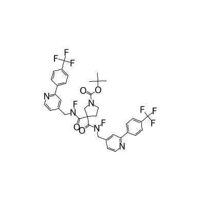 CC(C)(C)OC(=O)N1CCC(C(=O)N(F)Cc2ccnc(-c3ccc(C(F)(F)F)cc3)c2)(C(=O)N(F)Cc2ccnc(-c3ccc(C(F)(F)F)cc3)c2)C1